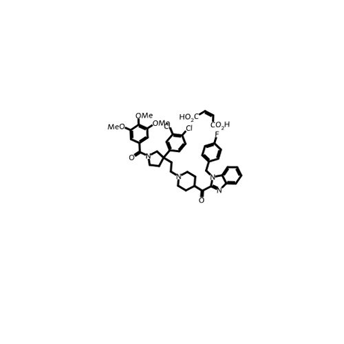 COc1cc(C(=O)N2CCC(CCN3CCC(C(=O)c4nc5ccccc5n4Cc4ccc(F)cc4)CC3)(c3ccc(Cl)c(Cl)c3)C2)cc(OC)c1OC.O=C(O)/C=C\C(=O)O